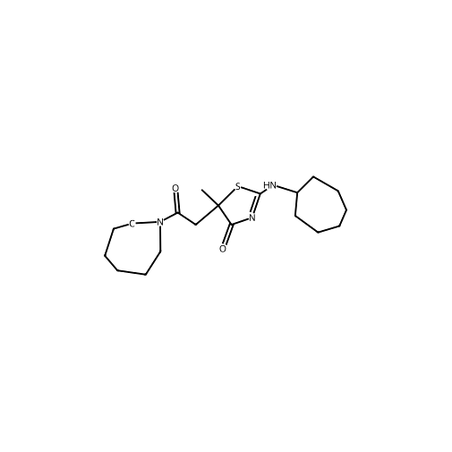 CC1(CC(=O)N2CCCCCC2)SC(NC2CCCCCC2)=NC1=O